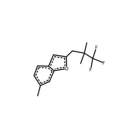 Cc1ccc2cc(CC(C)(C)C(F)(F)F)oc2c1